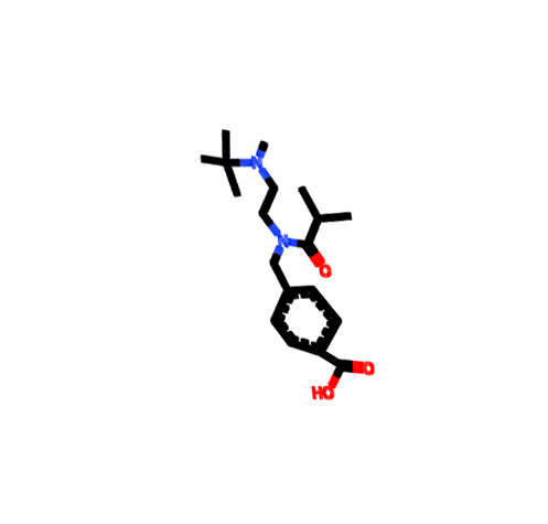 CC(C)C(=O)N(CCN(C)C(C)(C)C)Cc1ccc(C(=O)O)cc1